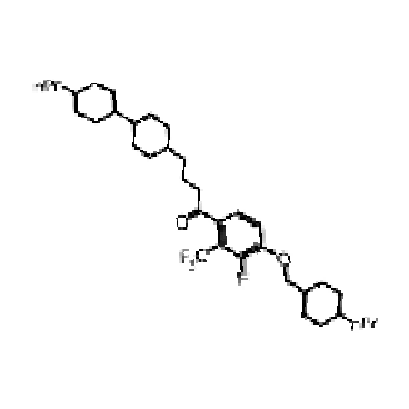 CCCC1CCC(COc2ccc(C(=O)CCCC3CCC(C4CCC(CCC)CC4)CC3)c(C(F)(F)F)c2F)CC1